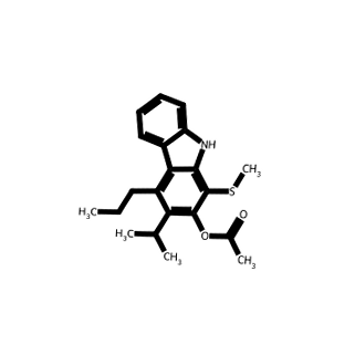 CCCc1c(C(C)C)c(OC(C)=O)c(SC)c2[nH]c3ccccc3c12